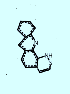 C1=Cc2ccc3cc4ccccc4nc3c2NS1